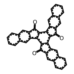 O=c1c2cc3ccccc3cc2c2c1c1c3cc4ccccc4cc3c(=O)c1c1c3cc4ccccc4cc3c(=O)c21